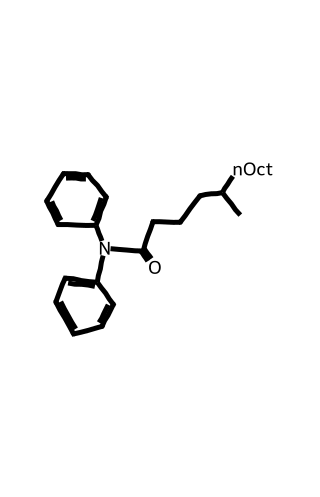 CCCCCCCCC(C)CCCC(=O)N(c1ccccc1)c1ccccc1